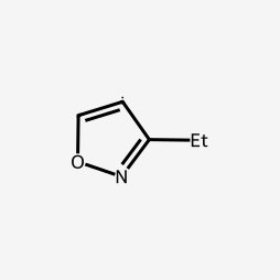 CCc1[c]con1